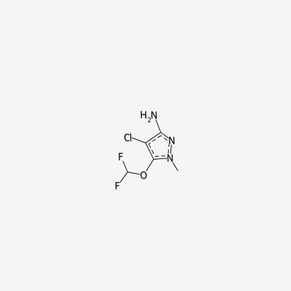 Cn1nc(N)c(Cl)c1OC(F)F